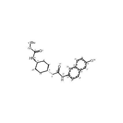 CC(C)(C)OC(=O)N[C@H]1CC[C@H](CC(=O)Nc2ccc3cc(Cl)ccc3n2)CC1